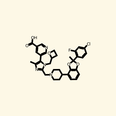 Cc1nc(CN2CCC(c3cccc4c3OC(C)(c3ccc(Cl)cc3F)O4)CC2)n(CC2CCO2)c1-c1cncc(C(=O)O)c1